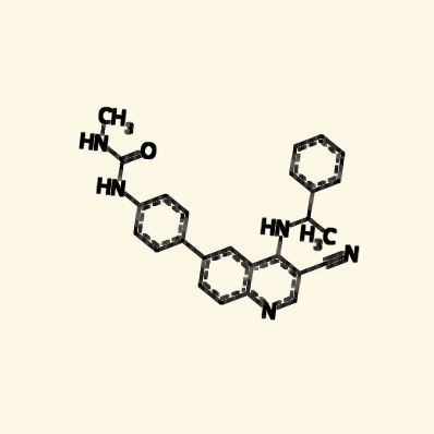 CNC(=O)Nc1ccc(-c2ccc3ncc(C#N)c(NC(C)c4ccccc4)c3c2)cc1